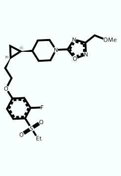 CCS(=O)(=O)c1ccc(OCC[C@H]2C[C@H]2C2CCN(c3nc(COC)no3)CC2)cc1F